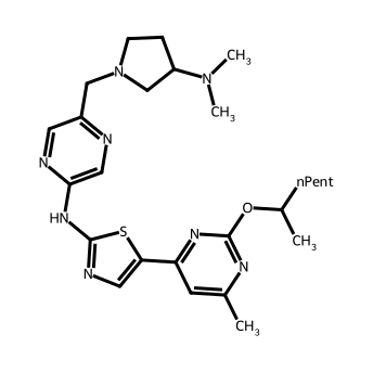 CCCCCC(C)Oc1nc(C)cc(-c2cnc(Nc3cnc(CN4CCC(N(C)C)C4)cn3)s2)n1